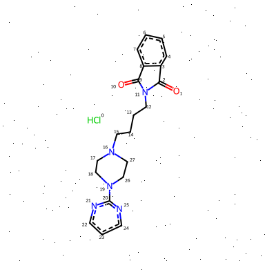 Cl.O=C1c2ccccc2C(=O)N1CCCCN1CCN(c2ncccn2)CC1